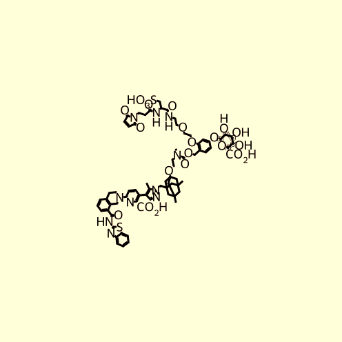 Cc1c(-c2ccc(N3CCc4cccc(C(=O)Nc5nc6ccccc6s5)c4C3)nc2C(=O)O)cnn1CC12CC3(C)CC(C)(C1)CC(OCCN(C)C(=O)OCc1ccc(O[C@@H]4O[C@H](C(=O)O)[C@@H](O)[C@H](O)[C@H]4O)cc1OCCOCCNC(=O)C(CS(=O)(=O)O)NC(=O)CCN1C(=O)C=CC1=O)(C3)C2